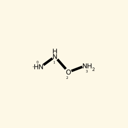 [NH]NON